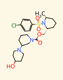 C[C@@H]1CCC[C@H](COC(=O)N2CCCC(N3CCC(O)CC3)C2)N1S(=O)(=O)c1ccc(Cl)cc1